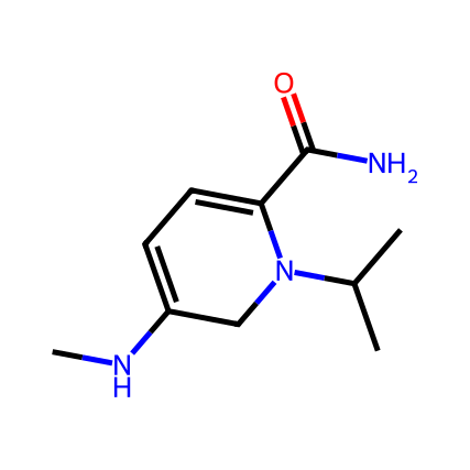 CNC1=CC=C(C(N)=O)N(C(C)C)C1